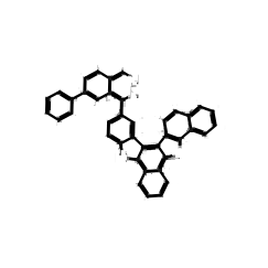 c1ccc(-c2ccc3cnnc(-c4ccc5[nH]c6c7ccccc7c7oc8c9ccccc9ccc8c7c6c5c4)c3c2)cc1